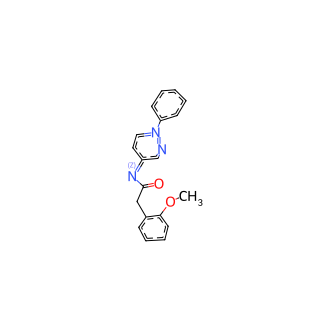 COc1ccccc1CC(=O)/N=c1/ccn(-c2ccccc2)nc1